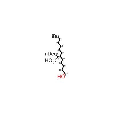 CCC(C)CCCCCCCCCCCO.CCCCCCCCCCCC(=O)O